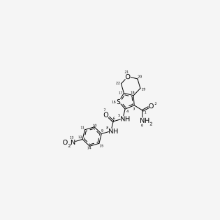 NC(=O)c1c(NC(=O)Nc2ccc([N+](=O)[O-])cc2)sc2c1CCOC2